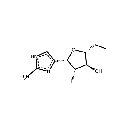 O=[N+]([O-])c1nc([C@@H]2O[C@H](CI)[C@@H](O)[C@@H]2F)c[nH]1